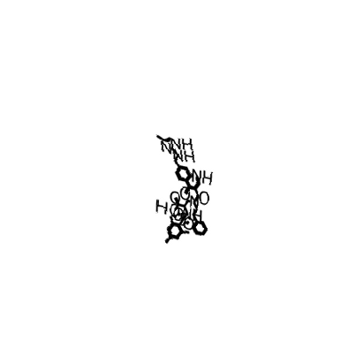 Cc1cc(C)c(S(=O)(=O)NC(CN(CCc2ccccc2)C(=O)c2c[nH]c3cc(CNc4nc(C)c[nH]4)ccc3c2=O)C(=O)O)c(C)c1